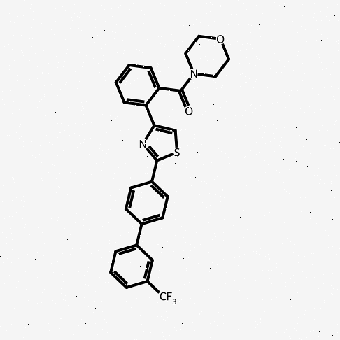 O=C(c1ccccc1-c1csc(-c2ccc(-c3cccc(C(F)(F)F)c3)cc2)n1)N1CCOCC1